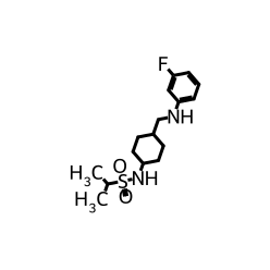 CC(C)S(=O)(=O)NC1CCC(CNc2cccc(F)c2)CC1